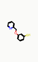 Sc1cccc(OCc2ccccn2)c1